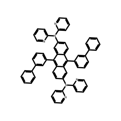 c1ccc(-c2cccc(-c3c4ccc(N(c5ccccn5)c5ccccn5)cc4c(-c4cccc(-c5ccccc5)c4)c4ccc(N(c5ccccn5)c5ccccn5)cc34)c2)cc1